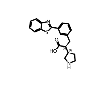 O=C(O)[C@@H](Cc1cccc(-c2nc3ccccc3s2)c1)[C@H]1CCNC1